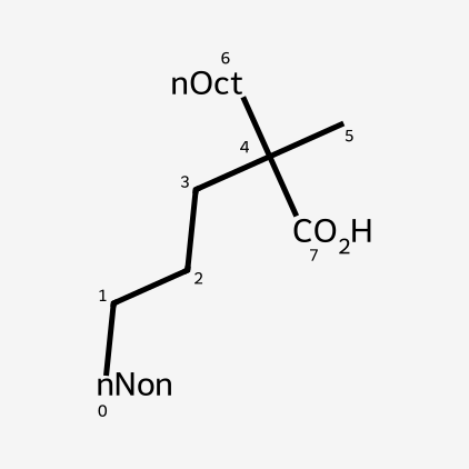 CCCCCCCCCCCCC(C)(CCCCCCCC)C(=O)O